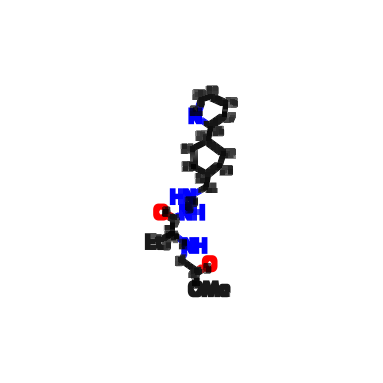 CC[C@H](NCC(=O)OC)C(=O)NNCc1ccc(-c2ccccn2)cc1